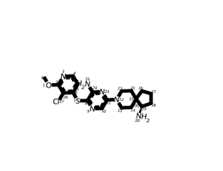 COc1nccc(Sc2ncc(N3CCC4(CCC[C@H]4N)CC3)nc2N)c1Cl